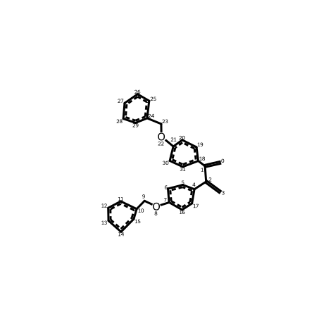 C=C(C(=C)c1ccc(OCc2ccccc2)cc1)c1ccc(OCc2ccccc2)cc1